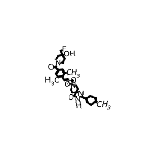 Cc1cc(C(=O)N2CCC(O)(CF)CC2)cc(C)c1/C=C/S(=O)(=O)N1CCC2(CC1)N=C(C1CCC(C)CC1)NC2=O